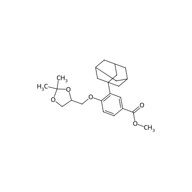 COC(=O)c1ccc(OCC2COC(C)(C)O2)c(C23CC4CC(CC(C4)C2)C3)c1